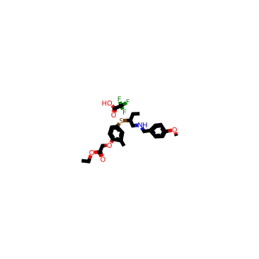 CCOC(=O)COc1ccc(SC(CC)CNCc2ccc(OC)cc2)cc1C.O=C(O)C(F)(F)F